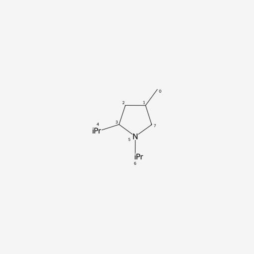 CC1CC(C(C)C)N(C(C)C)C1